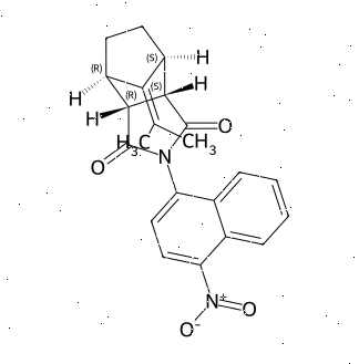 CC(C)=C1[C@H]2CC[C@@H]1[C@H]1C(=O)N(c3ccc([N+](=O)[O-])c4ccccc34)C(=O)[C@H]12